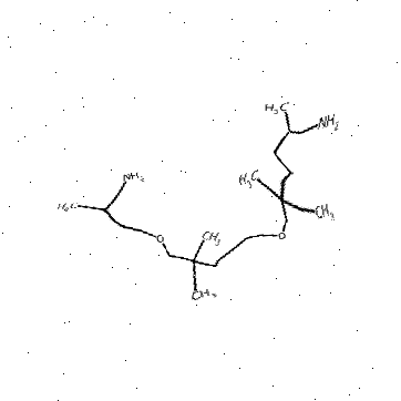 CC(N)CCC(C)(C)OCCC(C)(C)COCC(C)N